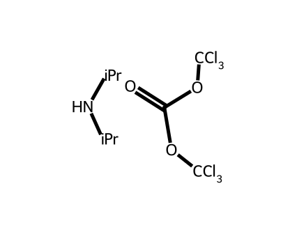 CC(C)NC(C)C.O=C(OC(Cl)(Cl)Cl)OC(Cl)(Cl)Cl